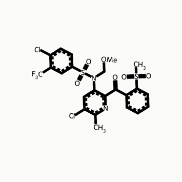 COCN(c1cc(Cl)c(C)nc1C(=O)c1ccccc1S(C)(=O)=O)S(=O)(=O)c1ccc(Cl)c(C(F)(F)F)c1